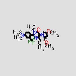 CCc1nc(-c2ccc(N(C)C)cc2C(F)(F)F)n(CC)c(=O)c1N1C[C@H](OC)C[C@H]1COC